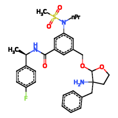 CCCN(c1cc(COC2OCCC2(N)Cc2ccccc2)cc(C(=O)N[C@H](C)c2ccc(F)cc2)c1)S(C)(=O)=O